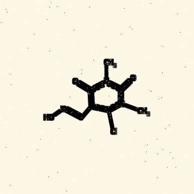 Cn1c(Cl)c(C=NO)c(=O)n(C)c1=O